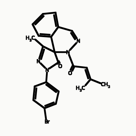 CC(C)=CC(=O)N1N=Cc2ccccc2C12C(=O)N(c1ccc(Br)cc1)N=C2C